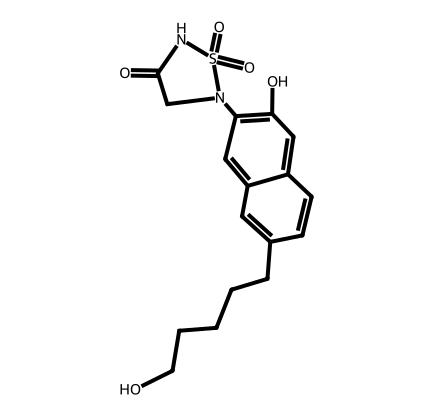 O=C1CN(c2cc3cc(CCCCCO)ccc3cc2O)S(=O)(=O)N1